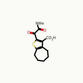 CNC(=O)C(=O)c1sc2c(c1C(=O)O)CCCCC2